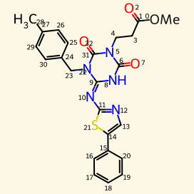 COC(=O)CCn1c(=O)[nH]/c(=N\c2ncc(-c3ccccc3)s2)n(Cc2ccc(C)cc2)c1=O